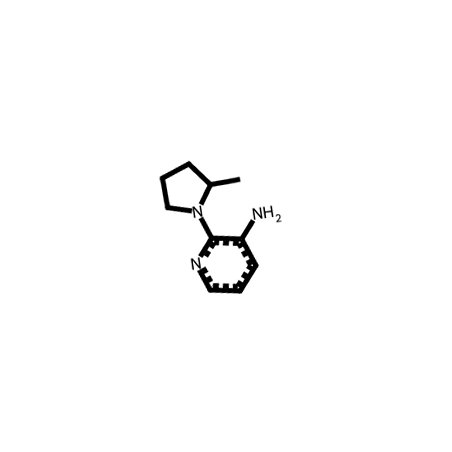 CC1CCCN1c1ncccc1N